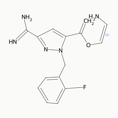 C=C(O/C=C\N)c1cc(C(=N)N)nn1Cc1ccccc1F